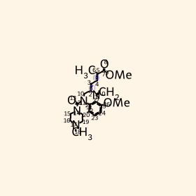 C=N/C(=C\C=C(/C)C(=O)OC)CN(C(=O)N1CCN(C)CC1)c1cccc(OC)c1